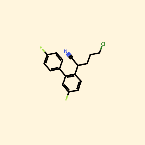 N#CC(CCCCl)c1ccc(F)cc1-c1ccc(F)cc1